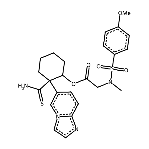 COc1ccc(S(=O)(=O)N(C)CC(=O)OC2CCCCC2(C(N)=S)c2ccc3nccn3c2)cc1